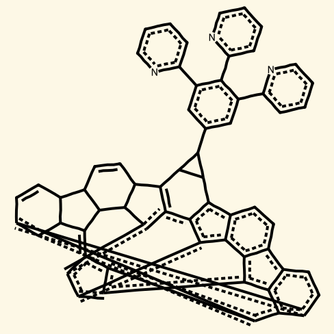 C1=CC2C3C4=c5c6c7c8c9c(c%10ccc%11c%12ccc%13c1c3c1c5c3c6c9c%10c%11c3c%12c%131)C1C(C=8C3C=CC2C4C73)C1c1cc(-c2ccccn2)c(-c2ccccn2)c(-c2ccccn2)c1